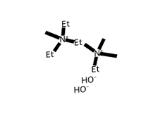 CC[N+](C)(C)C.CC[N+](C)(CC)CC.[OH-].[OH-]